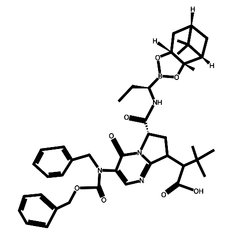 CC[C@H](NC(=O)[C@@H]1CC(C(C(=O)O)C(C)(C)C)c2ncc(N(Cc3ccccc3)C(=O)OCc3ccccc3)c(=O)n21)B1O[C@@H]2C[C@@H]3C[C@@H](C3(C)C)[C@]2(C)O1